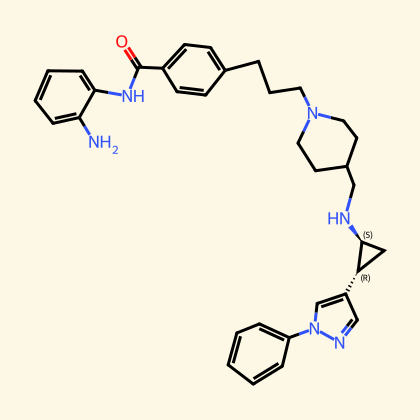 Nc1ccccc1NC(=O)c1ccc(CCCN2CCC(CN[C@H]3C[C@@H]3c3cnn(-c4ccccc4)c3)CC2)cc1